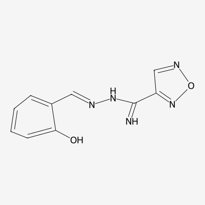 N=C(N/N=C/c1ccccc1O)c1cnon1